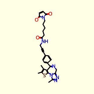 Cc1sc2c(c1C)C(c1ccc(C#CCNC(=O)CCCCCN3C(=O)C=CC3=O)cc1)=NCc1nnc(C)n1-2